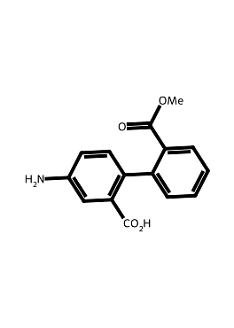 COC(=O)c1ccccc1-c1ccc(N)cc1C(=O)O